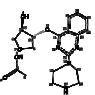 CC(=O)O.O[C@@H]1COC[C@H]1Oc1nc(N2CCNCC2)nc2ccccc12